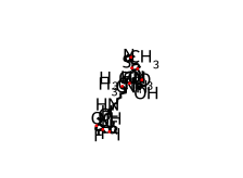 Cc1ncsc1-c1ccc(CNC(=O)[C@@H]2C[C@@H](O)CN2C(=O)[C@@H](NC(=O)CCCCCNCCCONC(=O)c2ccc(F)c(F)c2Nc2ccc(I)cc2F)C(C)(C)C)cc1